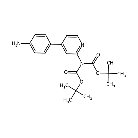 CC(C)(C)OC(=O)N(C(=O)OC(C)(C)C)c1cc(-c2ccc(N)cc2)ccn1